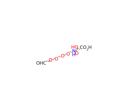 O=CCCOCCOCCOCCOCCNC(=O)C(O)CC(=O)O